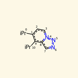 CC(C)c1ccn2nncc2c1C(C)C